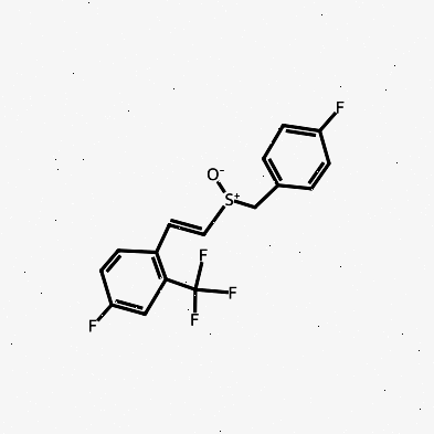 [O-][S+](C=Cc1ccc(F)cc1C(F)(F)F)Cc1ccc(F)cc1